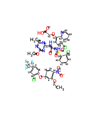 CCOc1cc(Oc2ccc(C(F)(F)F)cc2Cl)ccc1[N+](=O)[O-].COc1nc(C)nc(NC(=O)NS(=O)(=O)c2ccccc2Cl)n1.O=C(O)COc1ccc(Cl)c2cccnc12